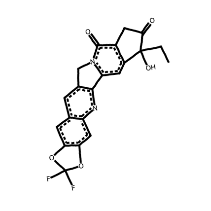 CCC1(O)C(=O)Cc2c1cc1n(c2=O)Cc2cc3cc4c(cc3nc2-1)OC(F)(F)O4